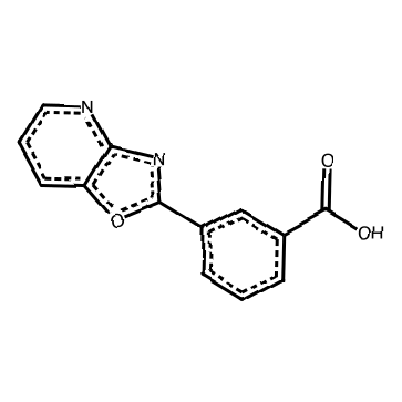 O=C(O)c1cccc(-c2nc3ncccc3o2)c1